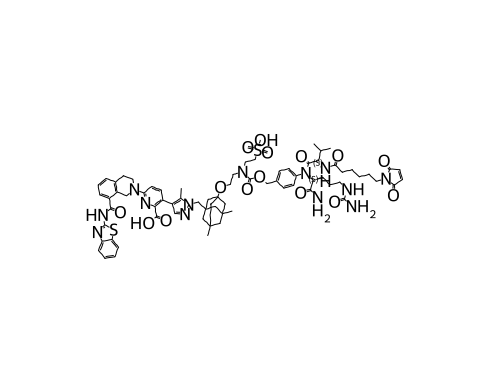 Cc1c(-c2ccc(N3CCc4cccc(C(=O)Nc5nc6ccccc6s5)c4C3)nc2C(=O)O)cnn1CC12CC3(C)CC(C)(C1)CC(OCCN(CCS(=O)(=O)O)C(=O)OCc1ccc(N(C(=O)[C@@H](NC(=O)CCCCCN4C(=O)C=CC4=O)C(C)C)[C@@H](CCCNC(N)=O)C(N)=O)cc1)(C3)C2